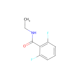 CCNC(=O)c1c(F)cccc1F